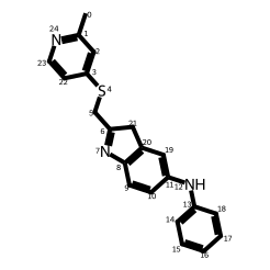 Cc1cc(SCC2=Nc3ccc(Nc4ccccc4)cc3C2)ccn1